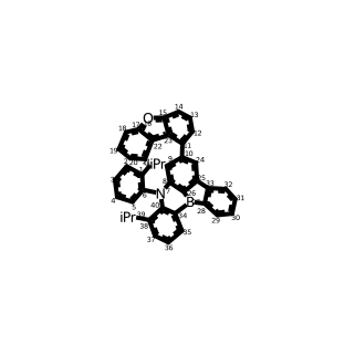 CC(C)c1ccccc1N1c2cc(-c3cccc4oc5ccccc5c34)cc3c2B(c2ccccc2-3)c2cccc(C(C)C)c21